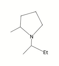 CCC(C)N1CCCC1C